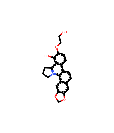 OCCOc1ccc2c(c1O)c1[n+](c3c4cc5c(cc4ccc23)OCO5)CCC1